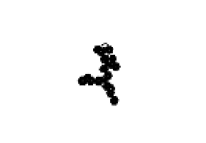 c1ccc(-c2ccc3c(ccc4cc(N(c5ccc(-c6ccc7c(ccc8ccccc87)c6)cc5)c5cccc(-c6cccc(N(c7ccc(-c8cc9ccccc9c9oc%10ccccc%10c89)cc7)c7cc8ccccc8c8ccccc78)c6)c5)ccc43)c2)cc1